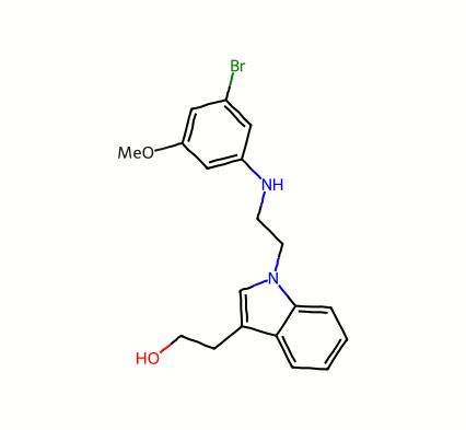 COc1cc(Br)cc(NCCn2cc(CCO)c3ccccc32)c1